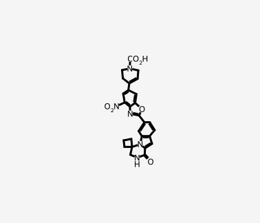 O=C1NCC2(CCC2)n2c1cc1ccc(-c3nc4c([N+](=O)[O-])cc(C5=CCN(C(=O)O)CC5)cc4o3)cc12